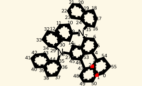 c1ccc(-c2ccc(N(c3ccccc3)c3cccc4ccccc34)c3cc(N(c4ccccc4)c4cccc5ccccc45)cc(-c4ccccc4)c23)cc1